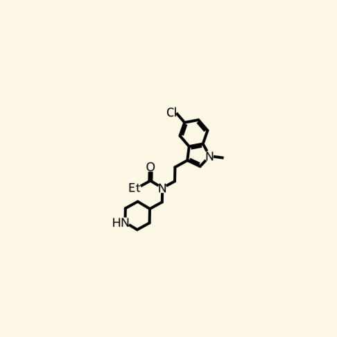 CCC(=O)N(CCc1cn(C)c2ccc(Cl)cc12)CC1CCNCC1